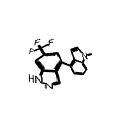 Cn1ccc2c(-c3cc(C(F)(F)F)cc4[nH]ncc34)cccc21